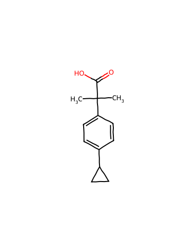 CC(C)(C(=O)O)c1ccc(C2CC2)cc1